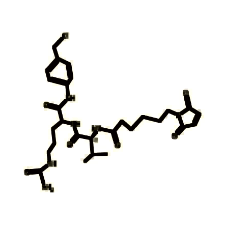 CC(C)[C@H](NC(=O)CCCCCN1C(=O)C=CC1=O)C(=O)NC(CCCNC(N)=O)C(=O)Nc1ccc(CCl)cc1